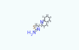 Nc1nc(-c2ccc3ccccc3n2)cs1